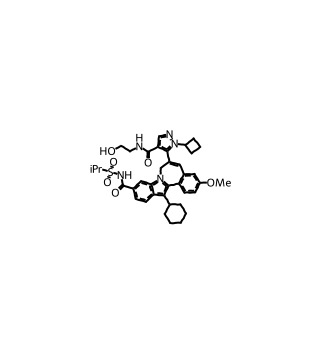 COc1ccc2c(c1)C=C(c1c(C(=O)NCCO)cnn1C1CCC1)Cn1c-2c(C2CCCCC2)c2ccc(C(=O)NS(=O)(=O)C(C)C)cc21